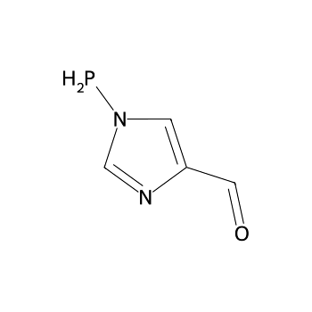 O=Cc1cn(P)cn1